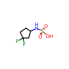 O=S(=O)(O)NC1CCC(F)(F)C1